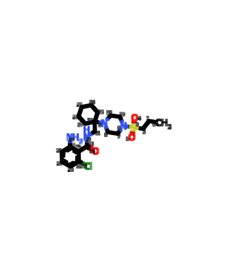 CCCS(=O)(=O)N1CCN(C2(CNC(=O)c3c(N)cccc3Cl)CCCCC2)CC1